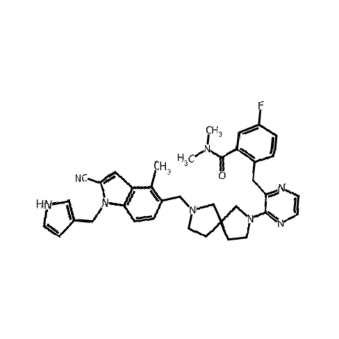 Cc1c(CN2CCC3(CCN(c4nccnc4Cc4ccc(F)cc4C(=O)N(C)C)C3)C2)ccc2c1cc(C#N)n2Cc1cc[nH]c1